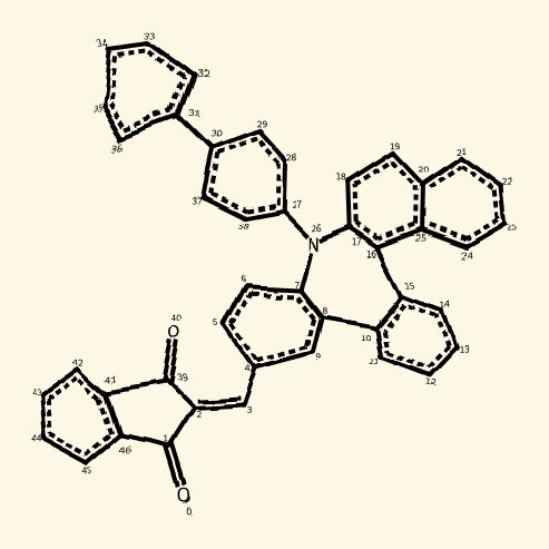 O=C1C(=Cc2ccc3c(c2)-c2ccccc2-c2c(ccc4ccccc24)N3c2ccc(-c3ccccc3)cc2)C(=O)c2ccccc21